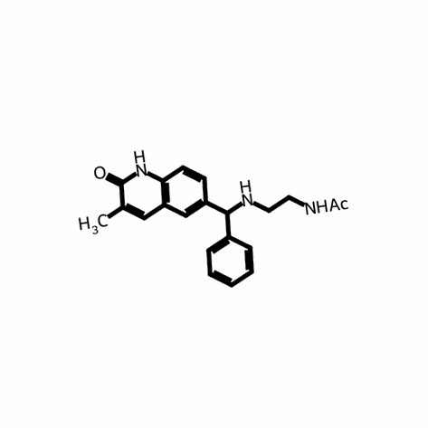 CC(=O)NCCNC(c1ccccc1)c1ccc2[nH]c(=O)c(C)cc2c1